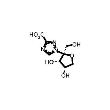 O=C(O)c1ncn([C@@]2(CO)OC[C@H](O)[C@@H]2O)n1